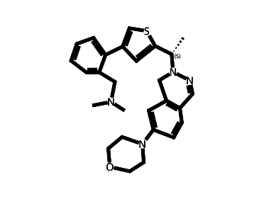 C[C@@H](c1cc(-c2ccccc2CN(C)C)cs1)N1Cc2cc(N3CCOCC3)ccc2C=N1